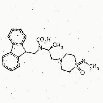 CN=S1(=O)CCN(C[C@H](C)N(CC2c3ccccc3-c3ccccc32)C(=O)O)CC1